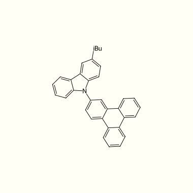 CCC(C)c1ccc2c(c1)c1ccccc1n2-c1ccc2c3ccccc3c3ccccc3c2c1